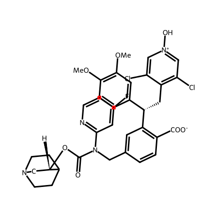 COc1ccc([C@H](Cc2c(Cl)c[n+](O)cc2Cl)c2cc(CN(C(=O)O[C@H]3CN4CCC3CC4)c3cc(F)ccn3)ccc2C(=O)[O-])cc1OC